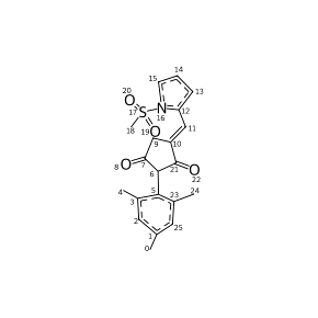 Cc1cc(C)c(C2C(=O)CC(=Cc3cccn3S(C)(=O)=O)C2=O)c(C)c1